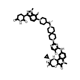 C[C@@H](C1CCN(c2ccc3c(C4CCC(=O)NC4=O)nn(C)c3c2F)CC1)N1CCC2(CCN(c3ncc(Cl)c(Nc4ccc5c(c4)c4c(c(=O)n5C)OCC(F)(F)[C@H](C5CC5)N4)n3)CC2)CC1